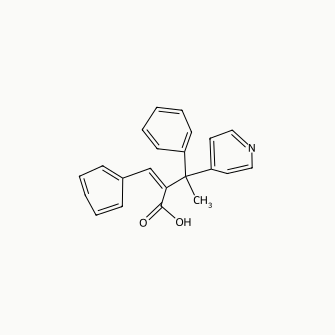 CC(C(=Cc1ccccc1)C(=O)O)(c1ccccc1)c1ccncc1